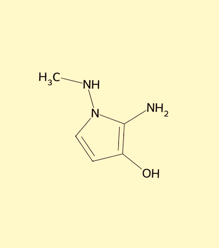 CNn1ccc(O)c1N